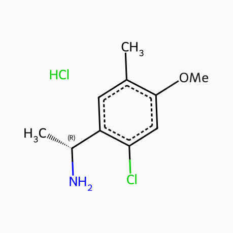 COc1cc(Cl)c([C@@H](C)N)cc1C.Cl